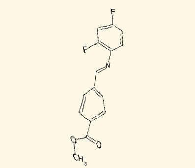 COC(=O)c1ccc(/C=N/c2ccc(F)cc2F)cc1